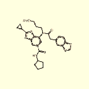 COCCCN(C(=O)Cc1ccc2ocnc2c1)c1cc(C(=O)NC2CCCC2)cc2oc(C3CC3)nc12